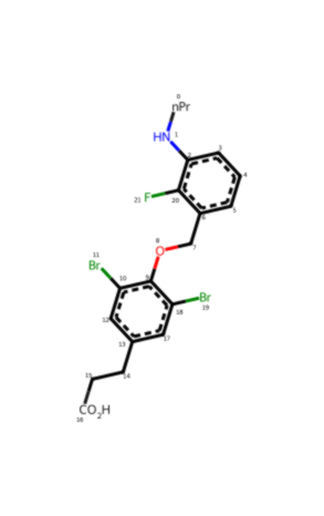 CCCNc1cccc(COc2c(Br)cc(CCC(=O)O)cc2Br)c1F